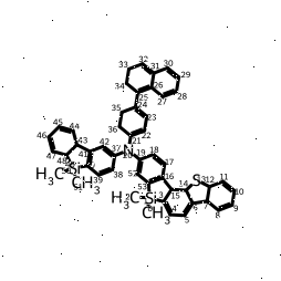 C[Si]1(C)C2=CC=C3C4C=CC=CC4SC3C2c2ccc(N(C3=CC=C(C4=c5ccccc5=CCC4)CC3)c3ccc4c(c3)C3C=CC=CC3[Si]4(C)C)cc21